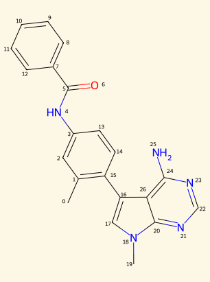 Cc1cc(NC(=O)c2ccccc2)ccc1-c1cn(C)c2ncnc(N)c12